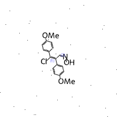 COc1ccc(/C(Cl)=C(\C=N/O)c2ccc(OC)cc2)cc1